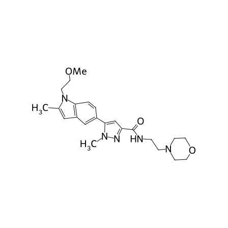 COCCn1c(C)cc2cc(-c3cc(C(=O)NCCN4CCOCC4)nn3C)ccc21